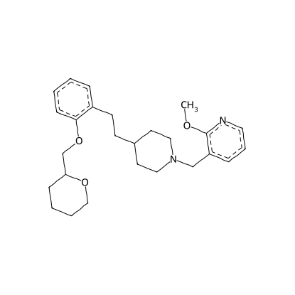 COc1ncccc1CN1CCC(CCc2ccccc2OCC2CCCCO2)CC1